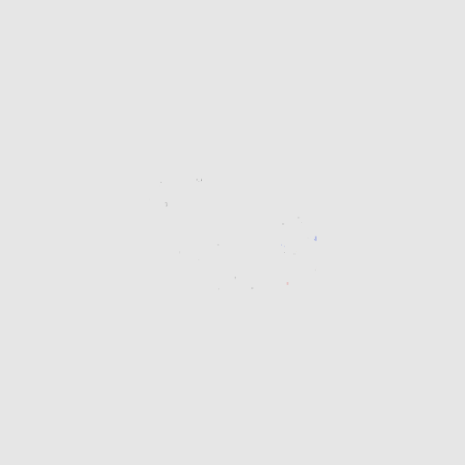 COCC1(CCOc2ccc3cc(O)c(N4CC(=O)NS4(=O)=O)c(F)c3c2)CC1